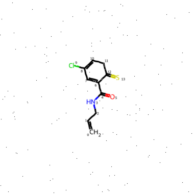 C=CCNC(=O)C1=CC(Cl)=CCC1=S